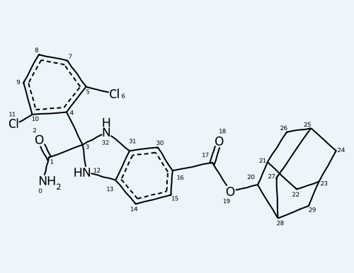 NC(=O)C1(c2c(Cl)cccc2Cl)Nc2ccc(C(=O)OC3C4CC5CC(C4)CC3C5)cc2N1